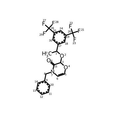 CC(OC1OC=CN(Cc2ccccc2)C1=O)c1cc(C(F)(F)F)cc(C(F)(F)F)c1